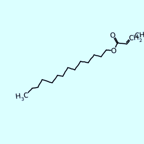 C.C=CC(=O)OCCCCCCCCCCCCCC